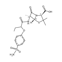 CCC(Oc1ccc(S(N)(=O)=O)cc1)C(=O)N[C@@]1(C)C(=O)N2[C@@H](C(=O)O)C(C)(C)S[C@@H]21